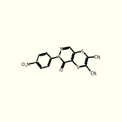 N#CC1=C(C#N)Sc2c(cnn(-c3ccc([N+](=O)[O-])cc3)c2=O)S1